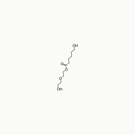 O=C(CCCCCO)OCCOCCO